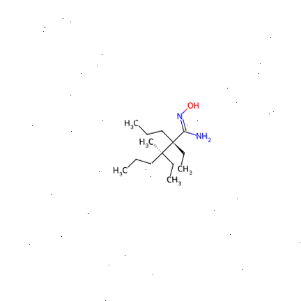 CCC[C@](C)(CC)[C@](CC)(CCC)/C(N)=N/O